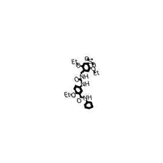 CCOc1cc(S(C)(=O)=O)c(OCC)cc1CNC(=O)Nc1ccc(OCC)c(C(=O)Nc2ccccc2)c1